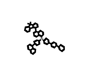 CC1(C)c2ccccc2-c2c(-c3cccc4c(N(c5ccc(-c6ccc(-c7ccccc7)cc6)cc5)c5ccc(-c6cccc7ccccc67)cc5)cccc34)cccc21